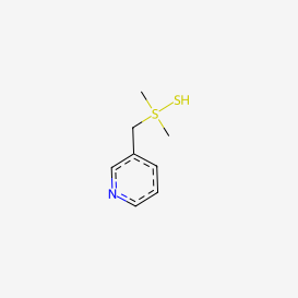 CS(C)(S)Cc1cccnc1